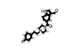 O=Cc1c[nH]c2ccc(C(=O)N3CCN(CCc4ccc(F)cc4)CC3)cc12